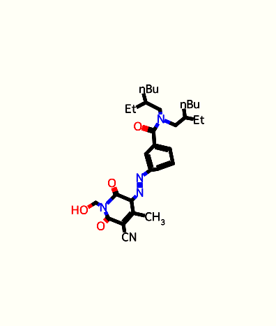 CCCCC(CC)CN(CC(CC)CCCC)C(=O)c1cccc(/N=N/C2C(=O)N(CO)C(=O)C(C#N)=C2C)c1